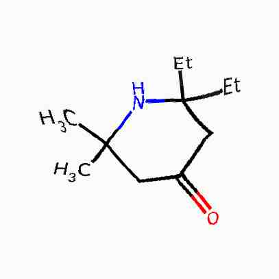 CCC1(CC)CC(=O)CC(C)(C)N1